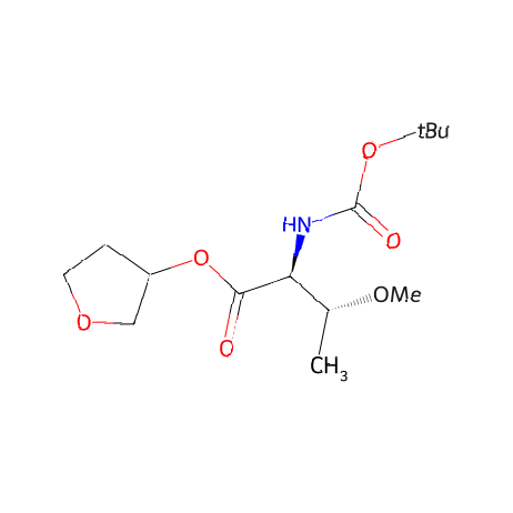 CO[C@H](C)[C@H](NC(=O)OC(C)(C)C)C(=O)OC1CCOC1